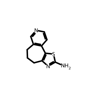 Nc1nc2c(s1)-c1ccncc1CCC2